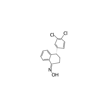 O/N=C1\CC[C@@H](c2ccc(Cl)c(Cl)c2)c2ccccc21